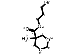 CC1(C(=O)OCCCBr)COCOC1